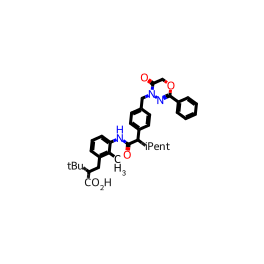 CCCC(C)C(C(=O)Nc1cccc(CC(C(=O)O)C(C)(C)C)c1C)c1ccc(CN2N=C(c3ccccc3)OCC2=O)cc1